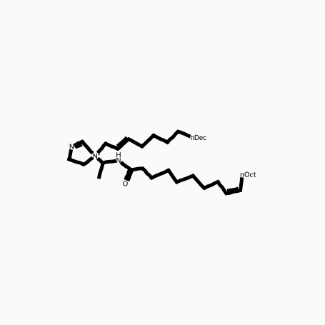 CCCCCCCC/C=C\CCCCCCCC(=O)NC(C)[N+]1(CC=CCCCCCCCCCCCCCC)C=NCC1